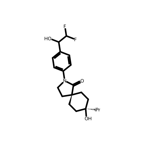 CC(C)[C@]1(O)CC[C@]2(CCN(c3ccc(C(O)C(F)F)cc3)C2=O)CC1